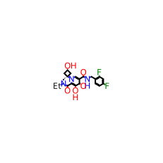 CCN1C[C@]2(C[C@@H](O)C2)n2cc(C(=O)NCc3ccc(F)cc3F)c(=O)c(O)c2C1=O